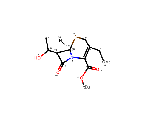 CC(=O)OCC1=C(C(=O)OC(C)(C)C)N2C(=O)[C@@H](C(C)O)[C@H]2SC1